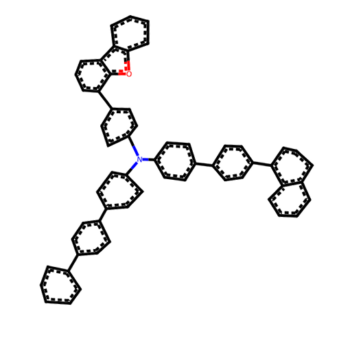 c1ccc(-c2ccc(-c3ccc(N(c4ccc(-c5ccc(-c6cccc7ccccc67)cc5)cc4)c4ccc(-c5cccc6c5oc5ccccc56)cc4)cc3)cc2)cc1